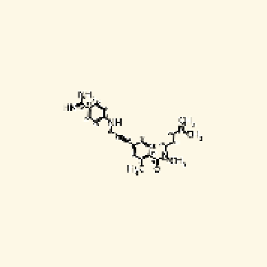 Cc1cc(C#CCNc2ccc(C(=N)N)cc2)ccc1C(=O)N(C)CCCN(C)C